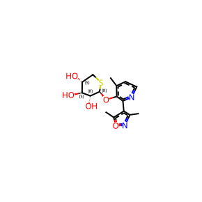 Cc1ccnc(-c2c(C)noc2C)c1O[C@@H]1SC[C@@H](O)[C@H](O)[C@H]1O